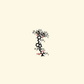 C=C1/C(=C\C=C2/CCC[C@]3(C)[C@@H](C(C)(C)/C=C/C(O)C4(C(C)=O)CC4)CC[C@@H]23)C[C@@H](O[Si](C)(C)C(C)(C)C)C[C@@H]1O[Si](C)(C)C(C)(C)C